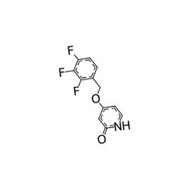 O=c1cc(OCc2ccc(F)c(F)c2F)cc[nH]1